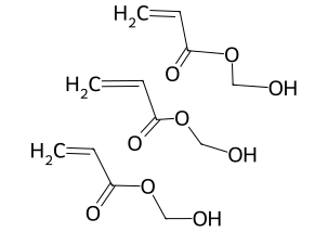 C=CC(=O)OCO.C=CC(=O)OCO.C=CC(=O)OCO